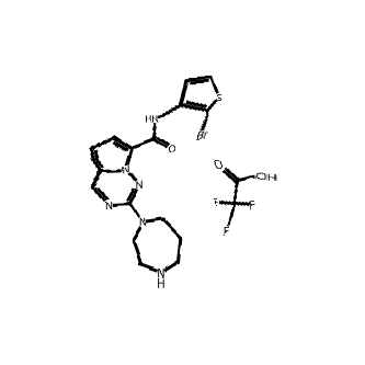 O=C(Nc1ccsc1Br)c1ccc2cnc(N3CCCNCC3)nn12.O=C(O)C(F)(F)F